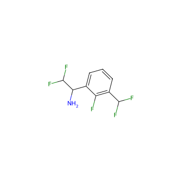 NC(c1cccc(C(F)F)c1F)C(F)F